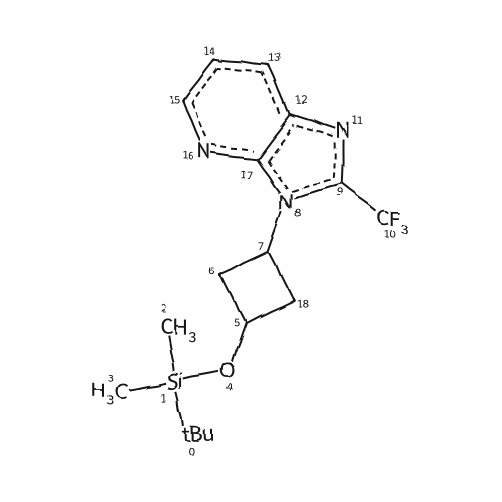 CC(C)(C)[Si](C)(C)OC1CC(n2c(C(F)(F)F)nc3cccnc32)C1